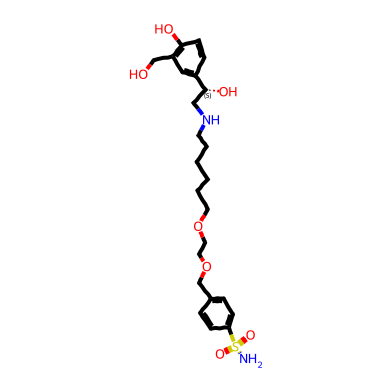 NS(=O)(=O)c1ccc(COCCOCCCCCCNC[C@@H](O)c2ccc(O)c(CO)c2)cc1